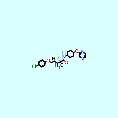 CC(C)(CCCOc1ccc(Cl)cc1)C(=O)NC1CCC(Oc2cnccn2)CC1